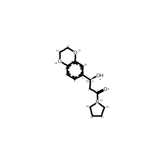 O=C(C[C@H](O)c1ccc2c(c1)OCCO2)N1CCCC1